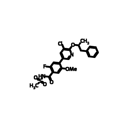 COc1cc(C(=O)NS(C)(=O)=O)c(F)cc1-c1cnc(O[C@@H](C)Cc2ccccc2)c(Cl)c1